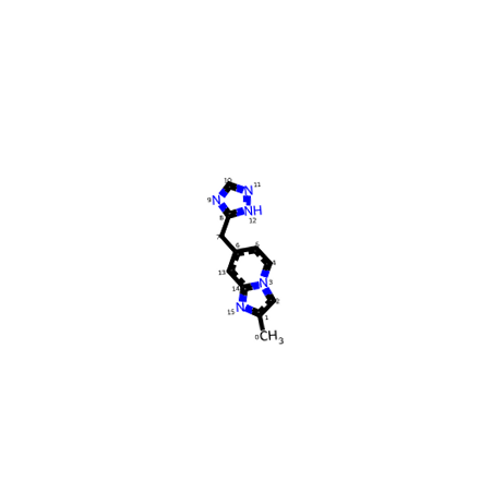 Cc1cn2ccc(Cc3ncn[nH]3)cc2n1